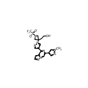 Cn1cc(-c2cn3nccc3c(-c3cnn(C4(CCO)CN(S(=O)(=O)C(F)(F)F)C4)c3)n2)cn1